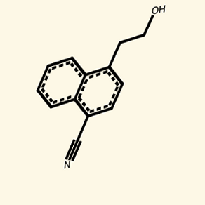 N#Cc1ccc(CCO)c2ccccc12